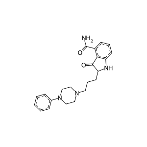 NC(=O)c1cccc2c1C(=O)C(CCCN1CCN(c3ccccc3)CC1)N2